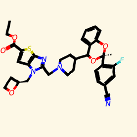 CCOC(=O)c1cc2c(nc(CN3CCC(C4O[C@](C)(c5ccc(C#N)cc5F)Oc5ccccc54)CC3)n2C[C@@H]2CCO2)s1